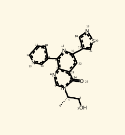 C[C@@H](CO)n1cnc2c(-c3cccnc3)nc(-c3cnsc3)cc2c1=O